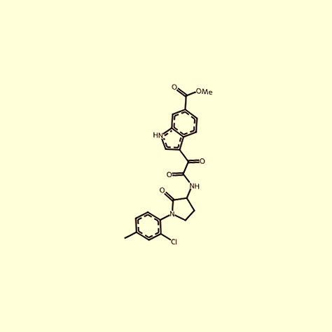 COC(=O)c1ccc2c(C(=O)C(=O)NC3CCN(c4ccc(C)cc4Cl)C3=O)c[nH]c2c1